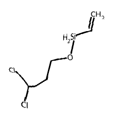 C=C[SiH2]OCCC(Cl)Cl